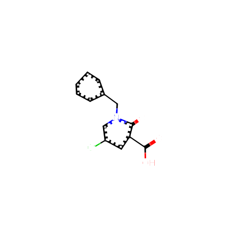 O=C(O)c1cc(Cl)cn(Cc2ccccc2)c1=O